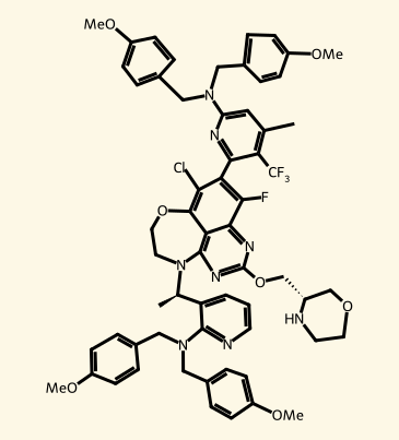 COc1ccc(CN(Cc2ccc(OC)cc2)c2cc(C)c(C(F)(F)F)c(-c3c(Cl)c4c5c(nc(OC[C@@H]6COCCN6)nc5c3F)N([C@H](C)c3cccnc3N(Cc3ccc(OC)cc3)Cc3ccc(OC)cc3)CCO4)n2)cc1